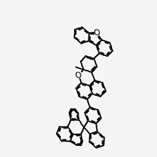 CC12CC=C(c3cccc4oc5ccccc5c34)C=C1c1cccc3c(-c4ccc5c(c4)C4(c6ccccc6-5)c5ccccc5-c5cccc6cccc4c56)ccc(c13)O2